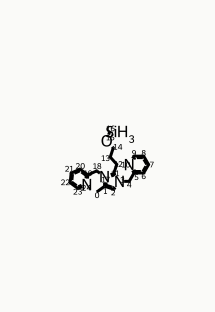 Cc1cn(Cc2ccccn2)c(CCCO[SiH3])[n+]1Cc1ccccn1